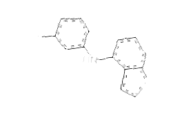 Brc1cccc(Nc2cccc3occc23)c1